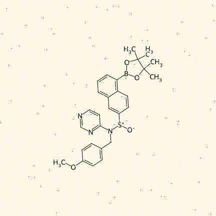 COc1ccc(CN(c2ccncn2)[S+]([O-])c2ccc3c(B4OC(C)(C)C(C)(C)O4)cccc3c2)cc1